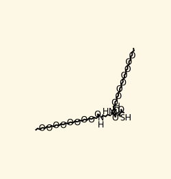 CCCOCCOCCOCCOCCOCCOCCOCCOCCC(=O)NCCCC[C@@H](NC(=O)CCOCCOCCOCCOCCOCCOCCOCCOCCC)C(=O)NC(CS)C(C)=O